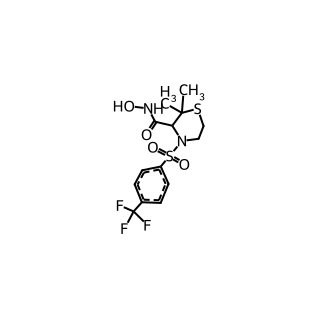 CC1(C)SCCN(S(=O)(=O)c2ccc(C(F)(F)F)cc2)C1C(=O)NO